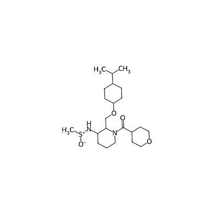 CC(C)C1CCC(OCC2C(N[S+](C)[O-])CCCN2C(=O)C2CCOCC2)CC1